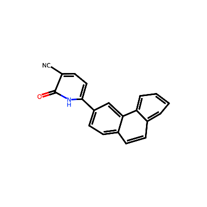 N#Cc1ccc(-c2ccc3ccc4ccccc4c3c2)[nH]c1=O